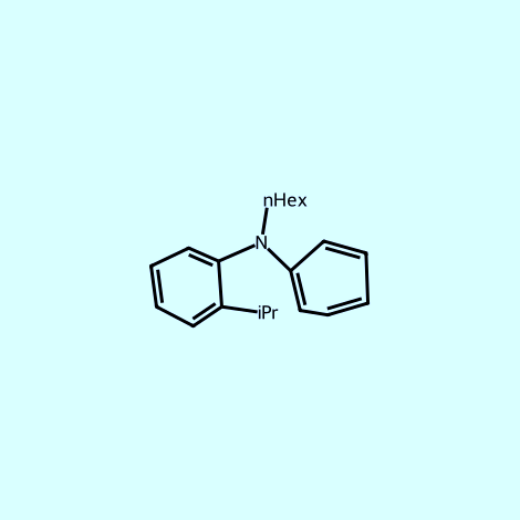 CCCCCCN(c1ccccc1)c1ccccc1C(C)C